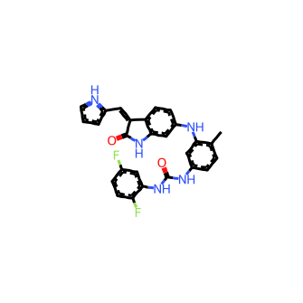 Cc1ccc(NC(=O)Nc2cc(F)ccc2F)cc1Nc1ccc2c(c1)NC(=O)/C2=C\c1ccc[nH]1